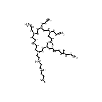 CNCCNCCNCCN(CCNCCN(CCN)CCN(CCN)CCN(CCN)CCNC)CCN(C)CCNCCNCCN